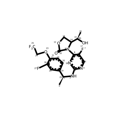 C[C@H](Nc1ncc(F)c(N2C(=O)OCC2[C@@H](C)O)n1)c1ccc(OCC(F)(F)F)c(F)c1